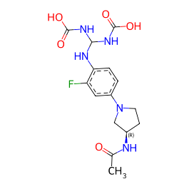 CC(=O)N[C@@H]1CCN(c2ccc(NC(NC(=O)O)NC(=O)O)c(F)c2)C1